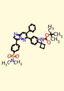 CN(C)S(=O)(=O)c1ccc(-c2cnc3cc(-c4ccccc4)c(-c4ccc(C5(NC(=O)OC(C)(C)C)CCC5)cc4)nn23)cc1